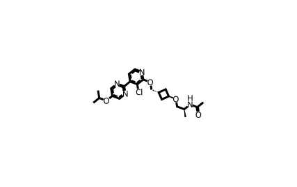 CC(=O)N[C@@H](C)CO[C@H]1C[C@H](COc2nccc(-c3ncc(OC(C)C)cn3)c2Cl)C1